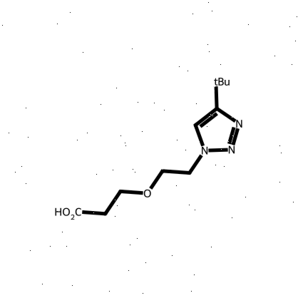 CC(C)(C)c1cn(CCOCCC(=O)O)nn1